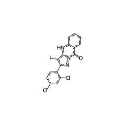 O=c1c2ccccc2[nH]c2c(I)c(-c3ccc(Cl)cc3Cl)nn12